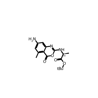 Cc1cc(N)cc2nc(N[C@@H](C)C(=O)OC(C)(C)C)oc(=O)c12